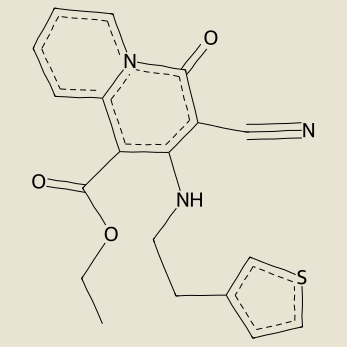 CCOC(=O)c1c(NCCc2ccsc2)c(C#N)c(=O)n2ccccc12